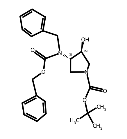 CC(C)(C)OC(=O)N1C[C@H](O)[C@@H](N(Cc2ccccc2)C(=O)OCc2ccccc2)C1